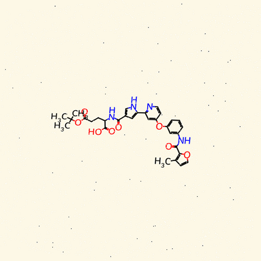 Cc1ccoc1C(=O)Nc1cccc(Oc2ccnc(-c3cc(C(=O)NC(CCC(=O)OC(C)(C)C)C(=O)O)c[nH]3)c2)c1